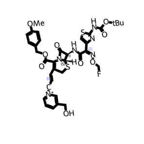 COc1ccc(COC(=O)C2=C(/C=C/C[n+]3cccc(CO)c3)CS[C@H]3[C@H](NC(=O)/C(=N\OCF)c4csc(NC(=O)OC(C)(C)C)n4)C(=O)N23)cc1